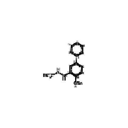 CCOC(=O)NNc1cc(-c2ccccc2)ccc1OC